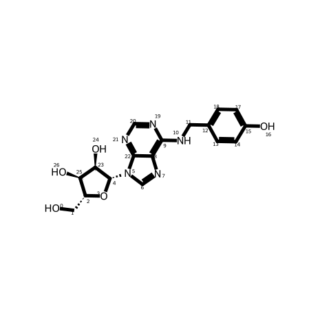 OC[C@H]1O[C@@H](n2cnc3c(NCc4ccc(O)cc4)ncnc32)[C@H](O)[C@@H]1O